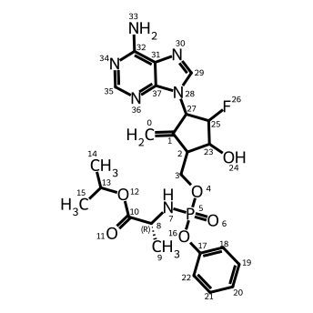 C=C1C(COP(=O)(N[C@H](C)C(=O)OC(C)C)Oc2ccccc2)C(O)C(F)C1n1cnc2c(N)ncnc21